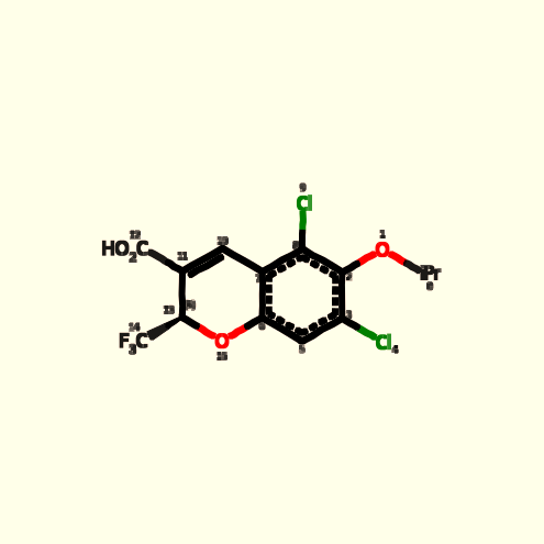 CC(C)Oc1c(Cl)cc2c(c1Cl)C=C(C(=O)O)[C@H](C(F)(F)F)O2